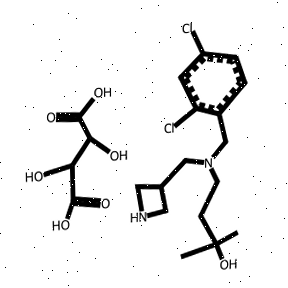 CC(C)(O)CCN(Cc1ccc(Cl)cc1Cl)CC1CNC1.O=C(O)C(O)C(O)C(=O)O